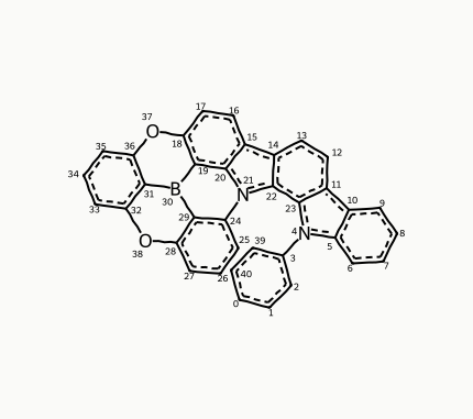 c1ccc(-n2c3ccccc3c3ccc4c5ccc6c7c5n(c4c32)-c2cccc3c2B7c2c(cccc2O6)O3)cc1